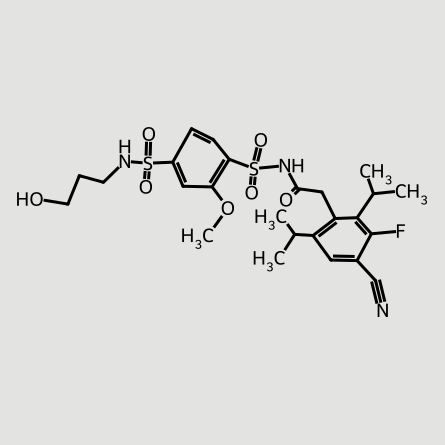 COc1cc(S(=O)(=O)NCCCO)ccc1S(=O)(=O)NC(=O)Cc1c(C(C)C)cc(C#N)c(F)c1C(C)C